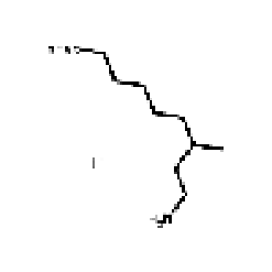 CCCCCCCCCCCC(C)CCN.I